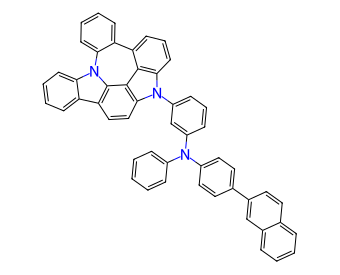 c1ccc(N(c2ccc(-c3ccc4ccccc4c3)cc2)c2cccc(-n3c4cccc5c6ccccc6n6c7ccccc7c7ccc3c(c54)c76)c2)cc1